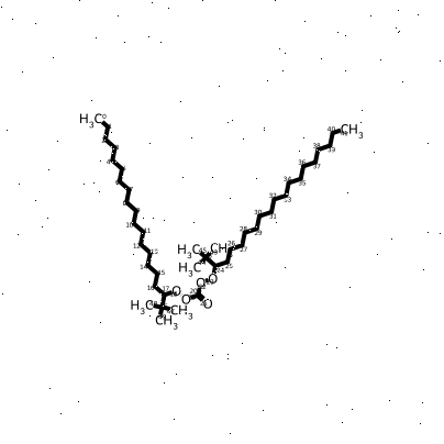 CCCCCCCCCCCCCCCCCC(OOC(=O)OOC(CCCCCCCCCCCCCCCCC)C(C)(C)C)C(C)(C)C